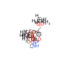 CC(C)(C)OC(=O)OC(=O)[C@@]1(N2CC(Oc3ccc(CCB4O[C@@H]5C[C@@H]6C[C@@H](C6(C)C)[C@]5(C)O4)c(OC(=O)OC(C)(C)C)c3C(=O)OC(C)(C)C)C2)CCCN1